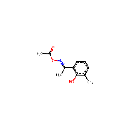 CC(=O)O/N=C(\C)c1cccc(C)c1O